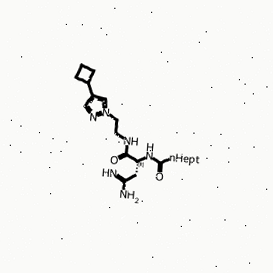 CCCCCCCC(=O)N[C@H](CC(=N)N)C(=O)NCCn1cc(C2CCC2)cn1